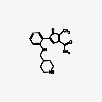 Cc1[nH]c(-c2ccccc2NCC2CCNCC2)cc1C(N)=O